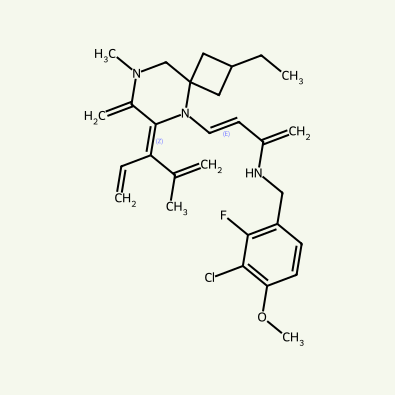 C=C/C(C(=C)C)=C1\C(=C)N(C)CC2(CC(CC)C2)N1/C=C/C(=C)NCc1ccc(OC)c(Cl)c1F